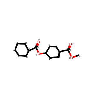 COC(=O)C1CCC(OC(=O)C2CCCCC2)CC1